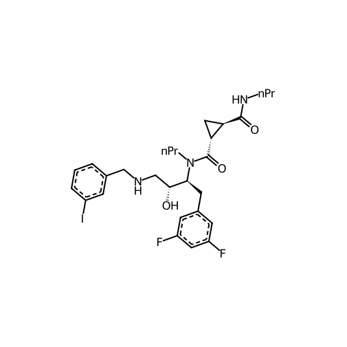 CCCNC(=O)[C@@H]1C[C@H]1C(=O)N(CCC)[C@@H](Cc1cc(F)cc(F)c1)[C@H](O)CNCc1cccc(I)c1